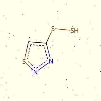 SSc1csnn1